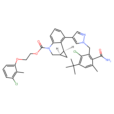 Cc1cc(C(C)(C)C)c(Cl)c(Cn2cc(-c3cccc4c3[C@H]3C[C@H]3CN4C(=O)OCCOc3cccc(Cl)c3C)cn2)c1C(N)=O